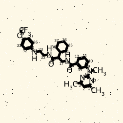 Cc1cc(C)nc(N(C)c2cccc(C(=O)NCC(C(=O)NCCNc3ccc(OC(F)(F)F)cc3)C3CCCCC3)c2)n1